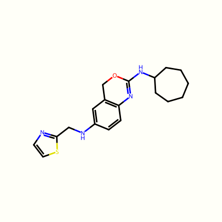 c1csc(CNc2ccc3c(c2)COC(NC2CCCCCC2)=N3)n1